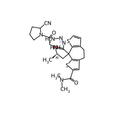 C[C@H](CC1(C(=N)/N=N\N)c2sccc2CCc2cc(C(=O)N(C)C)sc21)NCC(=O)N1CCCC1C#N